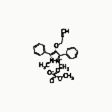 C#CCOc1c(-c2ccccc2)n(C)[n+](C)c1-c1ccccc1.COS(=O)(=O)[O-]